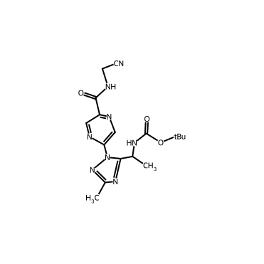 Cc1nc(C(C)NC(=O)OC(C)(C)C)n(-c2cnc(C(=O)NCC#N)cn2)n1